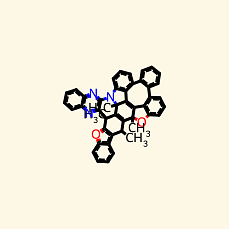 CC1C2=C3C(C)(c4nc5ccccc5nc4N4c5cccc6c5C(=C5c7c(cccc7-c7ccccc7-6)OC52C)C34C)c2oc3ccccc3c21